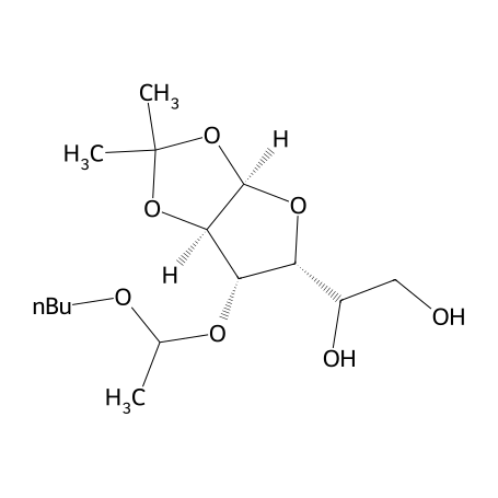 CCCCOC(C)O[C@@H]1[C@H]2OC(C)(C)O[C@H]2O[C@@H]1C(O)CO